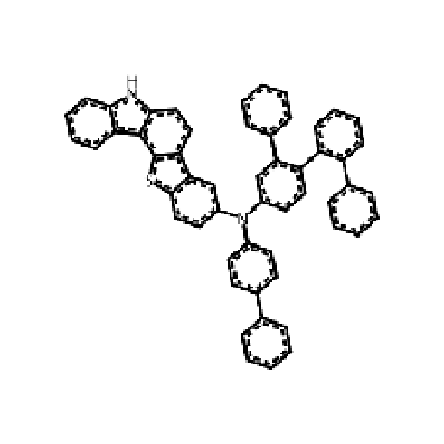 c1ccc(-c2ccc(N(c3ccc(-c4ccccc4-c4ccccc4)c(-c4ccccc4)c3)c3ccc4sc5c(ccc6[nH]c7ccccc7c65)c4c3)cc2)cc1